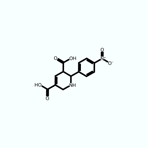 O=C(O)C1=CC(C(=O)O)C(c2ccc([N+](=O)[O-])cc2)NC1